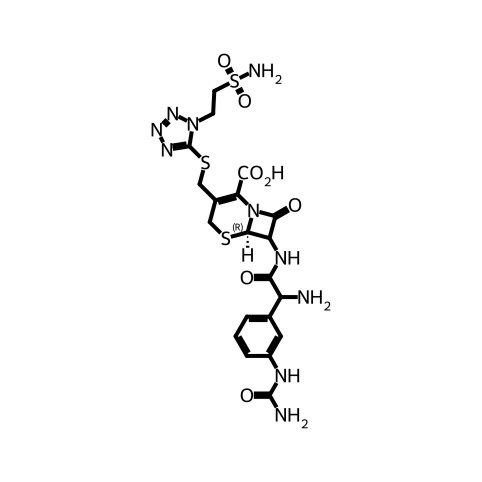 NC(=O)Nc1cccc(C(N)C(=O)NC2C(=O)N3C(C(=O)O)=C(CSc4nnnn4CCS(N)(=O)=O)CS[C@H]23)c1